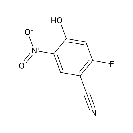 N#Cc1cc([N+](=O)[O-])c(O)cc1F